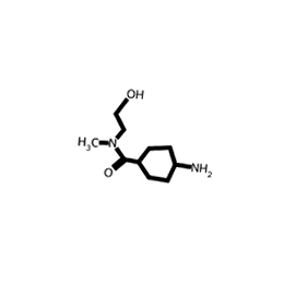 CN(CCO)C(=O)C1CCC(N)CC1